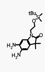 CC1(C)C(=O)N(CCO[Si](C)(C)C(C)(C)C)c2cc(N)c(N)cc21